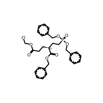 O=C(CC[C@@H](CCP(=O)(OCc1ccccc1)OCc1ccccc1)C(=O)OCc1ccccc1)OCCl